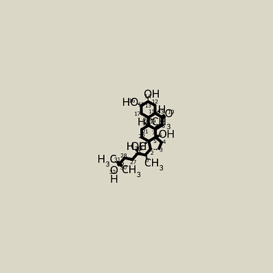 C[C@@H]([C@H]1CCC2(O)C3=CC(=O)[C@@H]4C[C@@H](O)[C@@H](O)C[C@]4(C)[C@H]3CC[C@]12C)[C@@H](O)CCC(C)(C)O